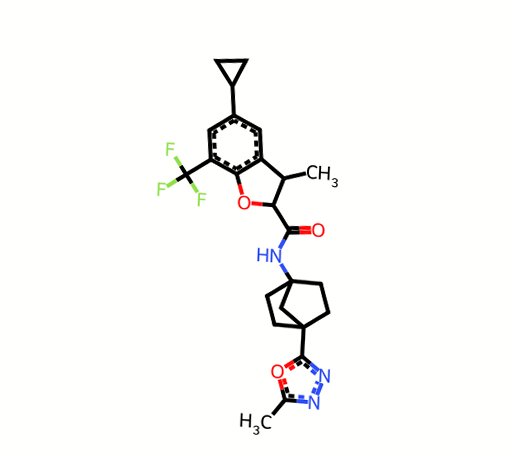 Cc1nnc(C23CCC(NC(=O)C4Oc5c(cc(C6CC6)cc5C(F)(F)F)C4C)(CC2)C3)o1